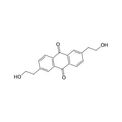 O=C1c2ccc(CCO)cc2C(=O)c2ccc(CCO)cc21